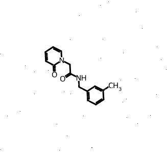 Cc1cccc(CNC(=O)Cn2ccccc2=O)c1